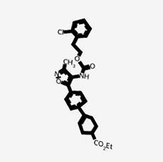 CCOC(=O)C1CC=C(c2ccc(-c3onc(C)c3NC(=O)OCCc3ccccc3Cl)cc2)CC1